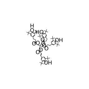 CC(C)(C)c1cc(/C=C/C(=O)OCC(COC(=O)CCc2cc(C(C)(C)C)c(O)c(C(C)(C)C)c2)(COC(=O)CCc2cc(C(C)(C)C)c(O)c(C(C)(C)C)c2)COC(=O)CCc2cc(C(C)(C)C)c(O)c(C(C)(C)C)c2)cc(C(C)(C)C)c1O